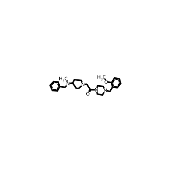 COc1ccccc1CN1CCN(C(=O)CN2CCC(N(C)Cc3ccccc3)CC2)CC1